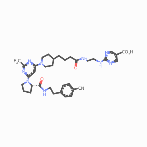 N#Cc1ccc(CCNC(=O)[C@@H]2CCCN2c2cc(N3CCC(CCCC(=O)NCCNc4ncc(C(=O)O)cn4)CC3)nc(C(F)(F)F)n2)cc1